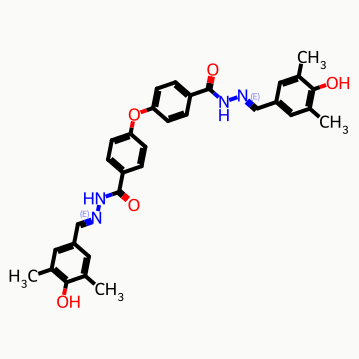 Cc1cc(/C=N/NC(=O)c2ccc(Oc3ccc(C(=O)N/N=C/c4cc(C)c(O)c(C)c4)cc3)cc2)cc(C)c1O